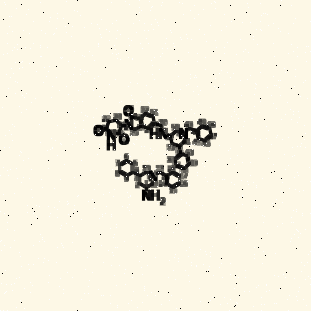 NC1CC(c2ccccc2)CN(Cc2ccccc2)C1.O=C1CCC(N2Cc3cc(CNC4CC(c5ccccc5)CN(Cc5ccccc5)C4)ccc3C2=O)C(=O)N1